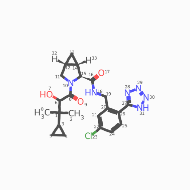 CC(C)(C1CC1)C(O)C(=O)N1C[C@@H]2C[C@@H]2[C@H]1C(=O)NCc1cc(Cl)ccc1-c1nnn[nH]1